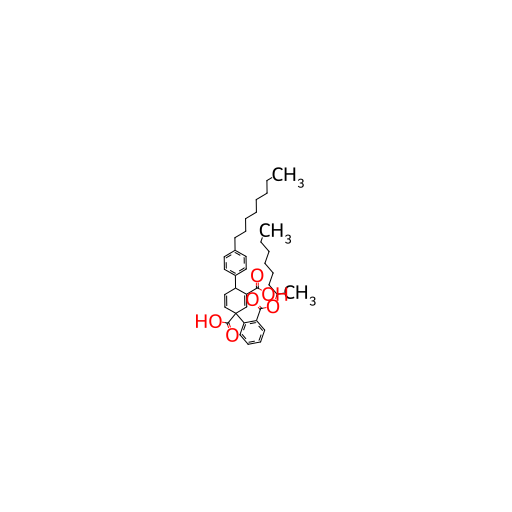 CCCCCCCCc1ccc(C2C=CC(C(=O)O)(c3ccccc3C(=O)OC(C)CCCCCC)C=C2C(=O)O)cc1